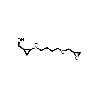 OCC1CC1NCCCCOCC1CO1